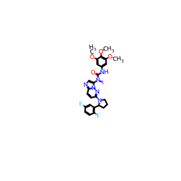 COc1cc(NC(=O)N(I)c2cnc3ccc(N4CCCC4c4cc(F)ccc4F)nn23)cc(OC)c1OC